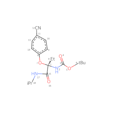 CC[C@](NC(=O)OC(C)(C)C)(Oc1ccc(C#N)cc1)C(=O)NC(C)C